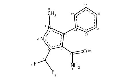 Cn1nc(C(F)F)c(C(N)=O)c1-c1ccccc1